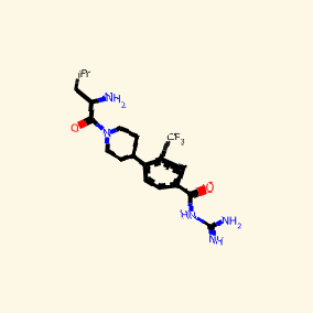 CC(C)CC(N)C(=O)N1CCC(c2ccc(C(=O)NC(=N)N)cc2C(F)(F)F)CC1